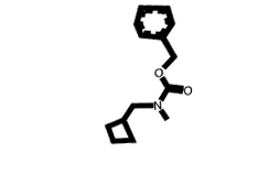 CN(CC1CCC1)C(=O)OCc1ccccc1